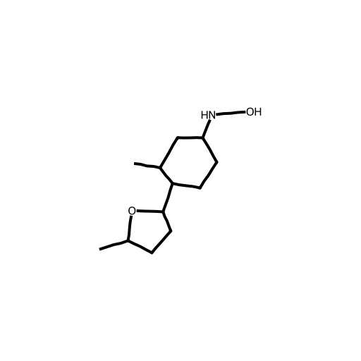 CC1CCC(C2CCC(NO)CC2C)O1